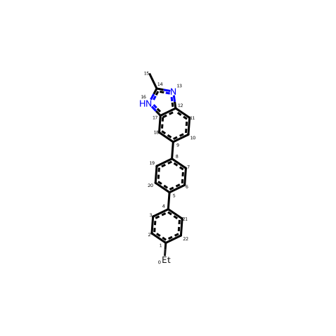 CCc1ccc(-c2ccc(-c3ccc4nc(C)[nH]c4c3)cc2)cc1